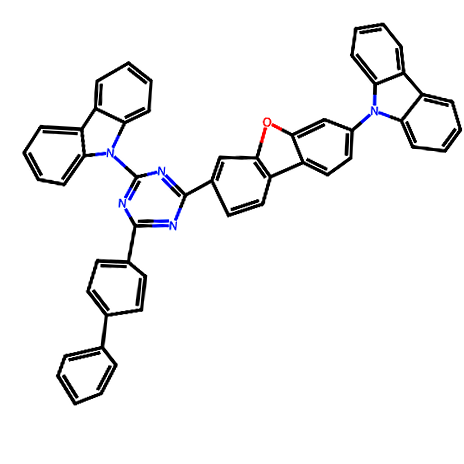 c1ccc(-c2ccc(-c3nc(-c4ccc5c(c4)oc4cc(-n6c7ccccc7c7ccccc76)ccc45)nc(-n4c5ccccc5c5ccccc54)n3)cc2)cc1